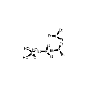 CCP(CC)CC.CCP(CC)CC.CCP(CC)CC.O=P(O)(O)O